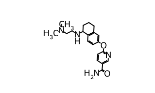 CN(C)CCNC1CCCc2cc(Oc3ccc(C(N)=O)cn3)ccc21